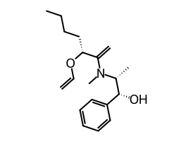 C=CO[C@H](CCCC)C(=C)N(C)[C@H](C)[C@H](O)c1ccccc1